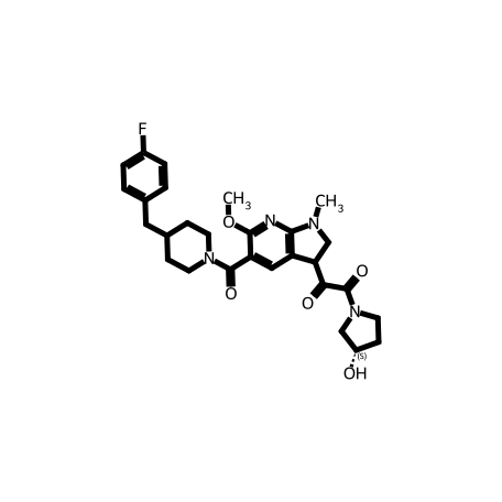 COc1nc2c(cc1C(=O)N1CCC(Cc3ccc(F)cc3)CC1)C(C(=O)C(=O)N1CC[C@H](O)C1)CN2C